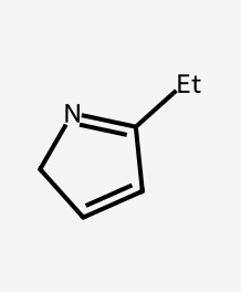 CCC1=NCC=C1